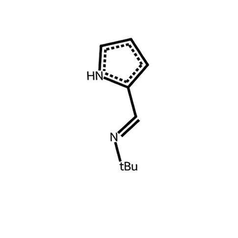 CC(C)(C)/N=C/c1ccc[nH]1